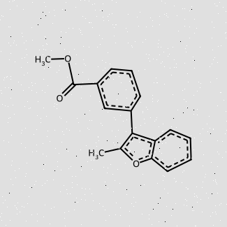 COC(=O)c1cccc(-c2c(C)oc3ccccc23)c1